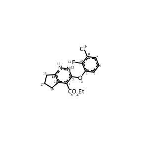 CCOC(=O)c1c(Oc2cccc(Cl)c2F)nnc2c1CCC2